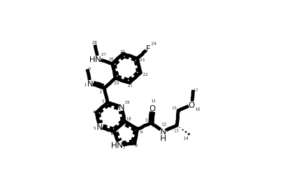 C/N=C(/c1cnc2[nH]cc(C(=O)N[C@@H](C)COC)c2n1)c1ccc(F)cc1NC